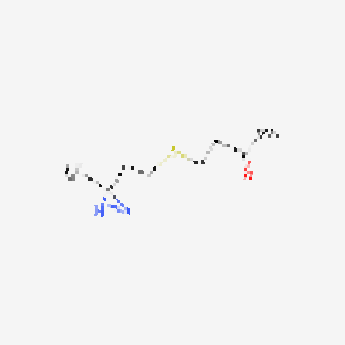 COC(=O)CCSCCC1(C)N=N1